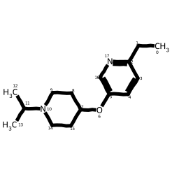 CCc1ccc(OC2CCN(C(C)C)CC2)cn1